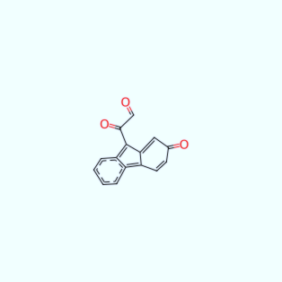 O=CC(=O)C1=c2ccccc2=C2C=CC(=O)C=C21